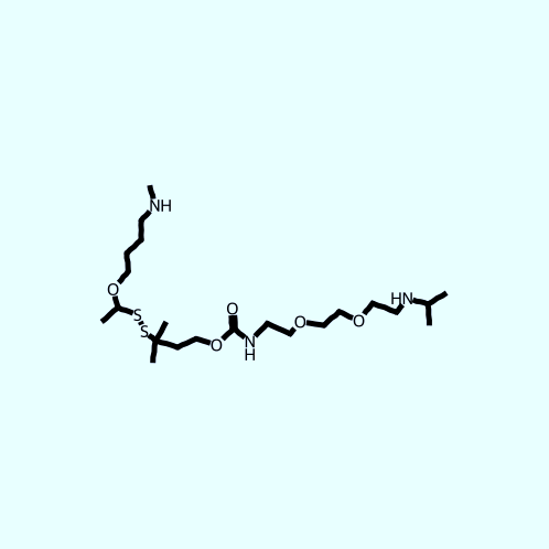 CNCCCCOC(C)SSC(C)(C)CCOC(=O)NCCOCCOCCNC(C)C